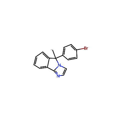 [CH2]C1(c2ccc(Br)cc2)c2ccccc2-c2nccn21